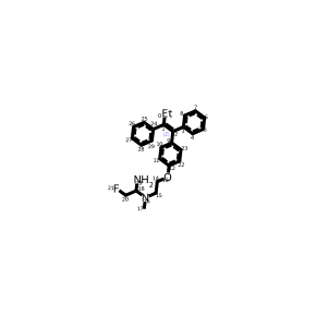 CC/C(=C(\c1ccccc1)c1ccc(OCCN(C)C(N)CF)cc1)c1ccccc1